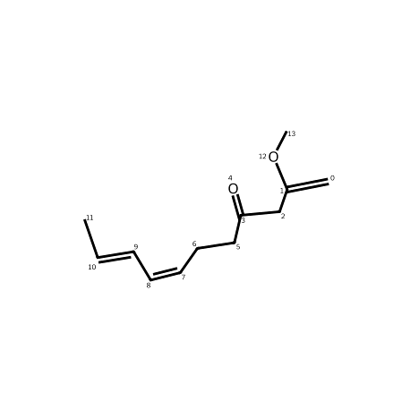 C=C(CC(=O)CC/C=C\C=C\C)OC